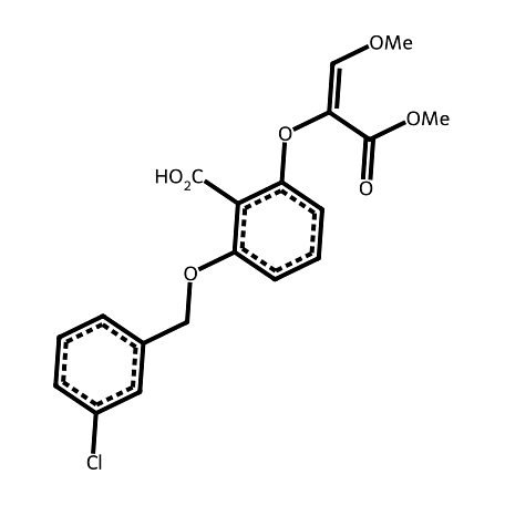 CO/C=C(/Oc1cccc(OCc2cccc(Cl)c2)c1C(=O)O)C(=O)OC